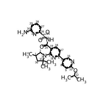 CC1CN(c2nc(-c3ccc(OC(C)C)nc3)ccc2C(=O)NS(=O)(=O)c2cccc(N)n2)C(C)(C)C1